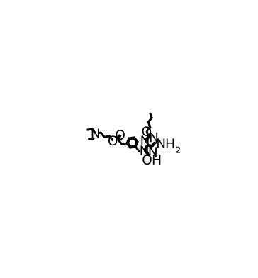 CCCCOc1nc(N)c2nc(O)n(Cc3cccc(CC(=O)OCCCN(CC)CC)c3)c2n1